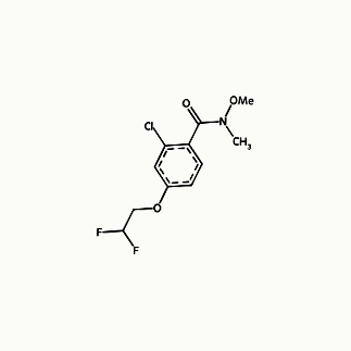 CON(C)C(=O)c1ccc(OCC(F)F)cc1Cl